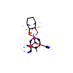 N#Cc1cc(S(=O)(=O)N2[C@@H]3CC[C@H]2[C@@H]2CN(C(=O)c4cnn[nH]4)C[C@@H]23)ccc1F